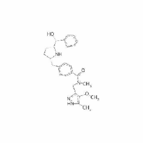 COc1c(CN(C)C(=O)c2ccc(C[C@@H]3CC[C@H]([C@H](O)c4ccccc4)N3)cc2)n[nH]c1C